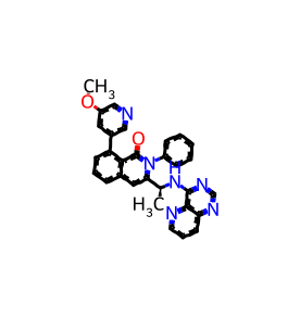 COc1cncc(-c2cccc3cc([C@H](C)Nc4ncnc5cccnc45)n(-c4ccccc4)c(=O)c23)c1